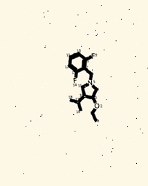 CCOC1CN(Cc2c(F)cccc2F)CC1C(C)C